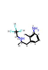 Cc1c(N)cccc1C[C@@H](C)NCC(F)(F)F